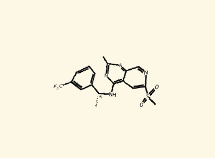 Cc1nc(N[C@H](C)c2cccc(C(F)(F)F)c2)c2cc(S(C)(=O)=O)ncc2n1